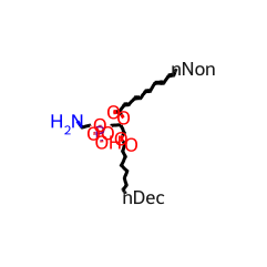 CCCCCCCCCC=CC=CC=CC=CC=CC(=O)OC(COC(=O)CCCCCCCCCCCCCCCCC)COP(=O)(O)OCCN